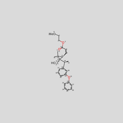 COCCOC(=O)/C=C\[C@@H]1C(C)(C)[C@@]1(C(=O)O)[C@@H](C)c1cccc(Oc2ccccc2)c1